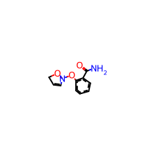 NC(=O)c1ccccc1ON1C=CCO1